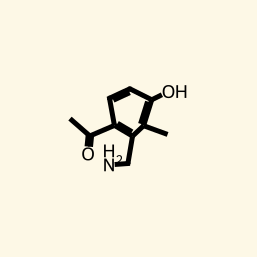 CC(=O)c1ccc(O)c(C)c1CN